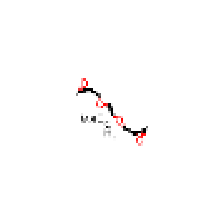 C(COCC1CO1)OCC1CO1.COC